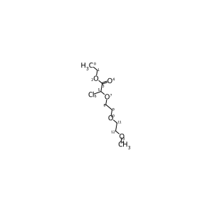 CCOC(=O)C(Cl)OCCOCCOC